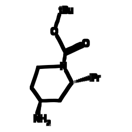 CC(C)[C@@H]1C[C@@H](N)CCN1C(=O)OC(C)(C)C